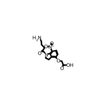 NCCCC(=O)N1CCc2c(OCC(=O)O)ccc([N+](=O)[O-])c21